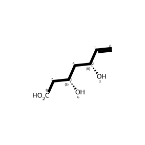 C=C[C@H](O)C[C@H](O)CC(=O)O